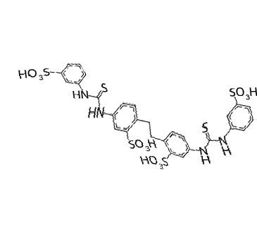 O=S(=O)(O)c1cccc(NC(=S)Nc2ccc(CCc3ccc(NC(=S)Nc4cccc(S(=O)(=O)O)c4)cc3S(=O)(=O)O)c(S(=O)(=O)O)c2)c1